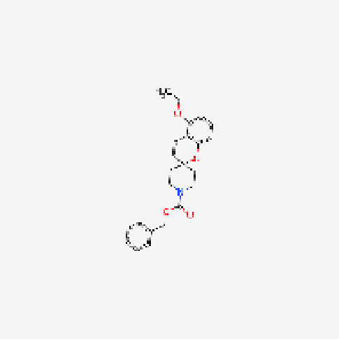 CCOc1cccc2c1C=CC1(CCN(C(=O)OCc3ccccc3)CC1)O2